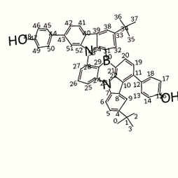 CC(C)(C)c1ccc2c(c1)c1c(-c3ccc(O)cc3)ccc3c1n2-c1cccc2c1B3c1cc(C(C)(C)C)cc3c4ccc(-c5ccc(O)cc5)cc4n-2c13